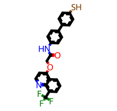 O=C(COc1ccnc2c(C(F)(F)F)cccc12)Nc1ccc(-c2ccc(S)cc2)cc1